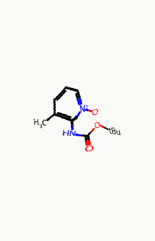 Cc1ccc[n+]([O-])c1NC(=O)OC(C)(C)C